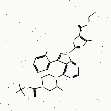 CCOC(=O)c1sc(-n2cc(-c3ccccc3F)c3c(N4CCN(C(=O)OC(C)(C)C)CC4C)ncnc32)nc1C